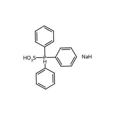 O=S(=O)(O)[PH](c1ccccc1)(c1ccccc1)c1ccccc1.[NaH]